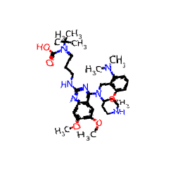 COc1cc2nc(NCCCN(C(=O)O)C(C)(C)C)nc(N(Cc3c(OC)cccc3N(C)C)C3CCNCC3)c2cc1OC